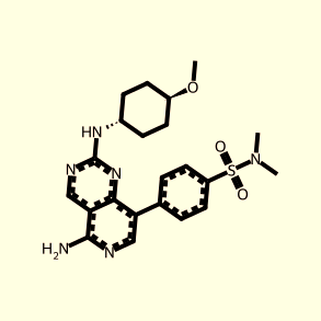 CO[C@H]1CC[C@H](Nc2ncc3c(N)ncc(-c4ccc(S(=O)(=O)N(C)C)cc4)c3n2)CC1